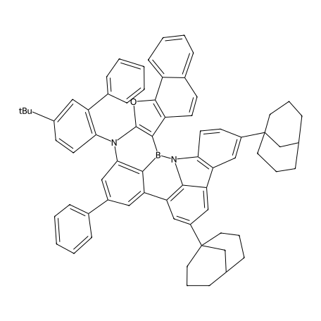 CC(C)(C)c1ccc(N2c3cc(-c4ccccc4)cc4c3B(c3c2oc2c3ccc3ccccc32)n2c3ccc(C56CCCC(CCC5)C6)cc3c3cc(C56CCCC(CCC5)C6)cc-4c32)c(-c2ccccc2)c1